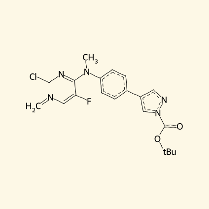 C=N/C=C(F)\C(=N/CCl)N(C)c1ccc(-c2cnn(C(=O)OC(C)(C)C)c2)cc1